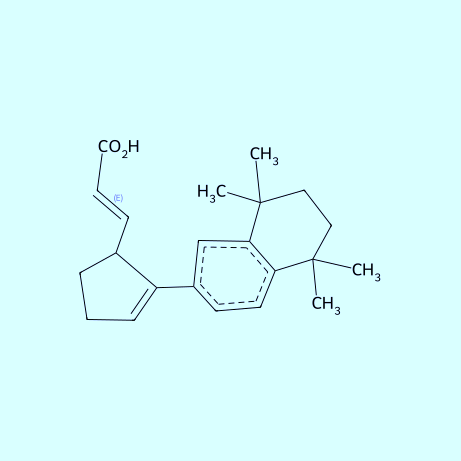 CC1(C)CCC(C)(C)c2cc(C3=CCCC3/C=C/C(=O)O)ccc21